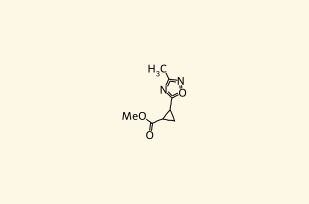 COC(=O)C1CC1c1nc(C)no1